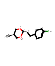 CCCC[C@H]1CO[C@H](CCC2CC=C(F)CC2)OC1